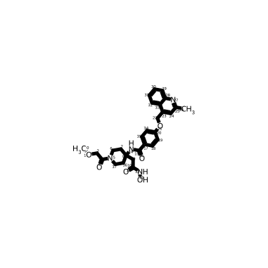 COCC(=O)N1CCC(CC(=O)NO)(NC(=O)c2ccc(OCc3cc(C)nc4ccccc34)cc2)CC1